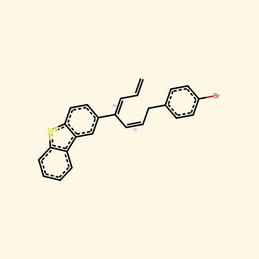 C=C/C=C(\C=C/Cc1ccc(Br)cc1)c1ccc2sc3ccccc3c2c1